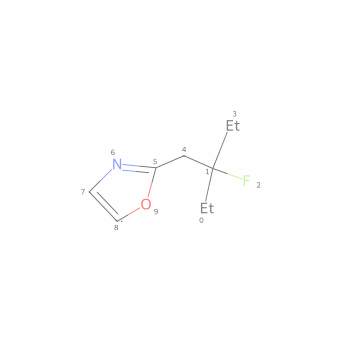 CCC(F)(CC)Cc1nc[c]o1